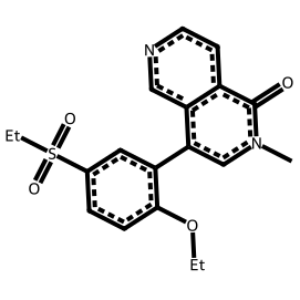 CCOc1ccc(S(=O)(=O)CC)cc1-c1cn(C)c(=O)c2ccncc12